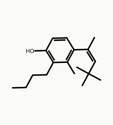 CCCCc1c(O)ccc(/C(C)=C\C(C)(C)C)c1C